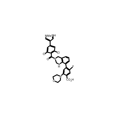 CN/C=C(\C=N)c1cc(Cl)c(C(=O)N2CNc3c(cccc3-c3cc(N4CCOCC4)c(C(=O)O)cc3F)C2)c(Cl)c1